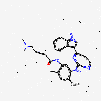 COc1cc(C)c(NC(=O)/C=C/CN(C)C)cc1Nc1nccc(-c2c[nH]c3ccccc23)n1